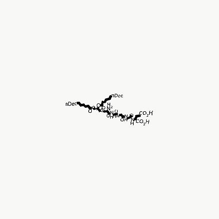 CCCCCCCCCCCCCCCC(=O)OC[C@H](CSC[C@H](N)C(=O)NCC(=O)NCC(=O)NCC(=O)N[C@@H](CCC(=O)O)C(=O)O)OC(=O)CCCCCCCCCCCCCCC